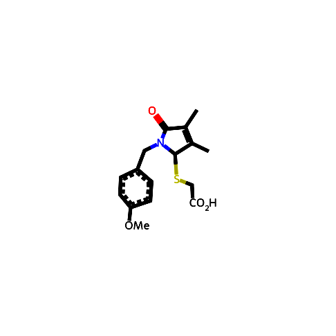 COc1ccc(CN2C(=O)C(C)=C(C)C2SCC(=O)O)cc1